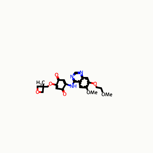 COCCOc1cc2ncnc(NC3=CC(=O)C(OCC4(C)COC4)=CC3=O)c2cc1OC